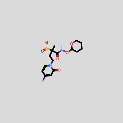 CC(CCn1ccc(I)cc1=O)(C(=O)NOC1CCCCO1)[SH](=O)=O